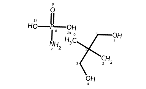 CC(C)(CO)CO.NP(=O)(O)O